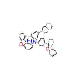 C1=Cc2ccc(-c3ccc(-c4cccc5oc6cccc(Nc7ccc(C8=C9Oc%10ccccc%10C9CC=C8)cc7)c6c45)cc3)cc2CC1